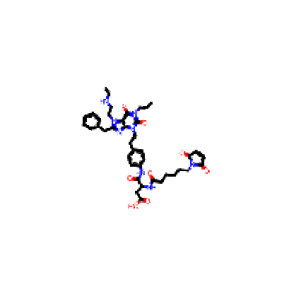 CCCn1c(=O)c2c(nc(Cc3ccccc3)n2CCNCC)n(CCc2ccc(NC(=O)C(CC(=O)O)NC(=O)CCCCCN3C(=O)C=CC3=O)cc2)c1=O